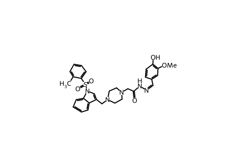 COc1cc(/C=N\NC(=O)CN2CCN(Cc3cn(S(=O)(=O)c4ccccc4C)c4ccccc34)CC2)ccc1O